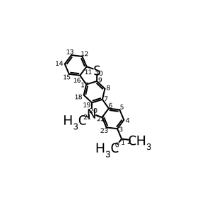 CC(C)c1ccc2c3cc4sc5ccccc5c4cc3n(C)c2c1